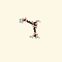 C=C(C)C(=O)OCCCCC(=O)C[C@H]1CC(C)OC[C@H]1OC(=O)CCCCOC(=O)C(=C)C